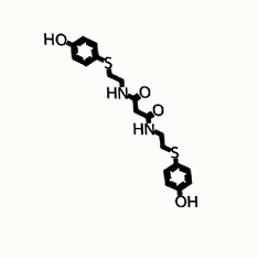 O=C(CC(=O)NCCSc1ccc(O)cc1)NCCSc1ccc(O)cc1